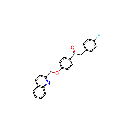 O=C(Cc1ccc(F)cc1)c1ccc(OCc2ccc3ccccc3n2)cc1